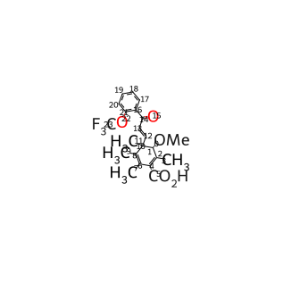 COC1C(C)=C(C(=O)O)C(C)=C(C)C1(C)C=CC(=O)c1ccccc1OC(F)(F)F